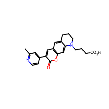 Cc1cc(-c2cc3cc4c(cc3oc2=O)N(CCCC(=O)O)CCC4)ccn1